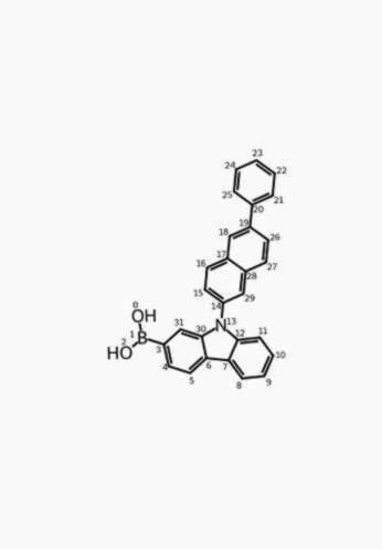 OB(O)c1ccc2c3ccccc3n(-c3ccc4cc(-c5ccccc5)ccc4c3)c2c1